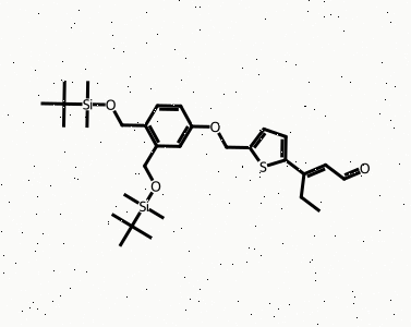 CCC(=CC=O)c1ccc(COc2ccc(CO[Si](C)(C)C(C)(C)C)c(CO[Si](C)(C)C(C)(C)C)c2)s1